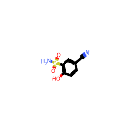 N#Cc1ccc(O)c(S(N)(=O)=O)c1